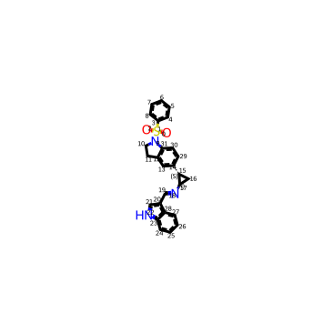 O=S(=O)(c1ccccc1)N1CCc2cc([C@@H]3C[C@H]3N=Cc3c[nH]c4ccccc34)ccc21